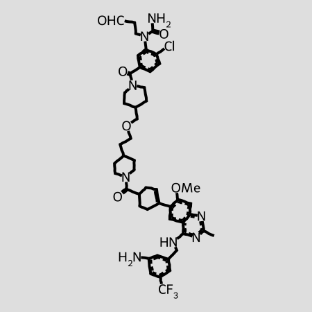 COc1cc2nc(C)nc(NCc3cc(N)cc(C(F)(F)F)c3)c2cc1C1=CCC(C(=O)N2CCC(CCOCC3CCN(C(=O)c4ccc(Cl)c(N(CCC=O)C(N)=O)c4)CC3)CC2)CC1